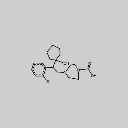 O=C(O)N1CCN(CC(c2ccccc2Br)C2(O)CCCCC2)CC1